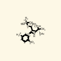 CC(=O)O[C@@](C)(C(=O)O)[C@H]1NC(=O)[C@@H]1[C@@H](C)O[Si](C)(C)C(C)(C)C.Cc1ccc([N+](=O)[O-])cc1